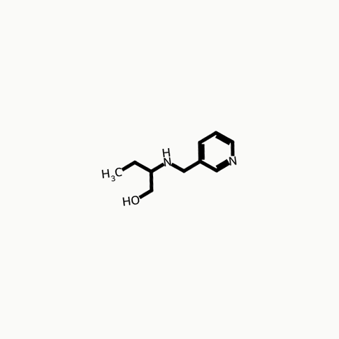 CCC(CO)NCc1cccnc1